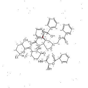 CCC[C@H](OC(=O)c1ccccc1)C(=O)N[C@@H]1C[C@H](C)C(O[C@H]2OC(CC)CCC2C)C(O)[C@H]1O[C@H]1OC(COC(=O)c2ccccc2)[C@@H](OC(=O)c2ccccc2)[C@H](C)C1OC(=O)c1ccccc1